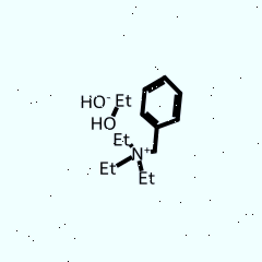 CCO.CC[N+](CC)(CC)Cc1ccccc1.[OH-]